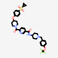 O=C(NC1CCN(Cc2ccc(OC(F)(F)F)cc2)CC1)c1ccc(C(=O)N2CCC(Oc3ccc(S(=O)(=O)C4CC4)cc3)CC2)nc1